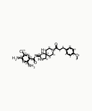 COc1ccc(CCC(=O)N2CCC3(CC2)CN/C(=N\C(=O)c2nc(Cl)c(N)nc2N)N3)cc1